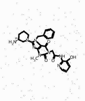 Cn1c(=O)n(CC(=O)Nc2ncccc2O)c(=O)c2c1nc(N1CCC[C@@H](N)C1)n2Cc1ccccc1